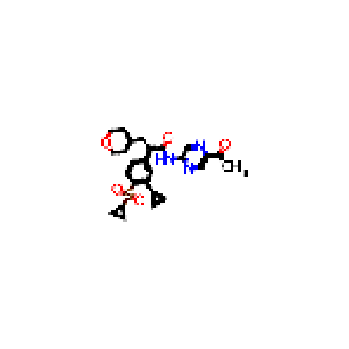 CC(=O)c1cnc(NC(=O)[C@H](CC2CCOCC2)c2ccc(S(=O)(=O)C3CC3)c(C3CC3)c2)cn1